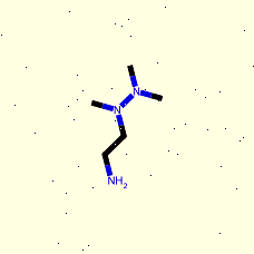 CN(C)N(C)CCN